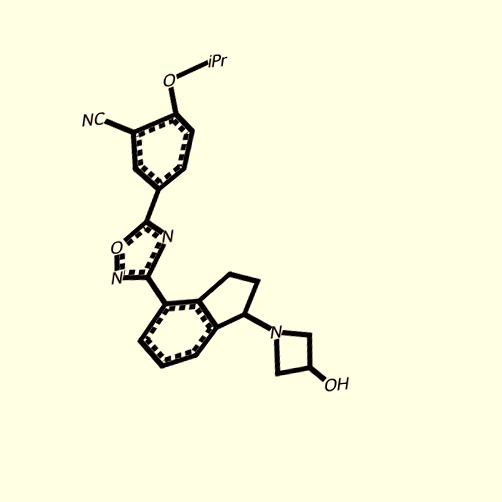 CC(C)Oc1ccc(-c2nc(-c3cccc4c3CCC4N3CC(O)C3)no2)cc1C#N